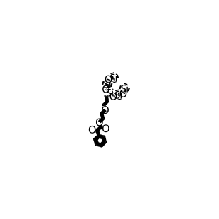 C[Si](C)(C)O[Si](C)(C)O[Si](C)(CCCOCCOC(=O)C(=O)c1ccccc1)O[Si](C)(C)O[Si](C)(C)C